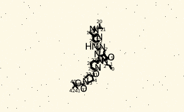 C=CCn1c(=O)c2cnc(Nc3cnc4c(cnn4C(C)C)c3)nc2n1-c1cccc(OC2CCN(C(=O)OC(C)(C)C)CC2)n1